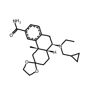 CCN(CC1CC1)[C@@H]1Cc2ccc(C(N)=O)cc2[C@@]2(C)CC3(CC[C@@H]12)OCCO3